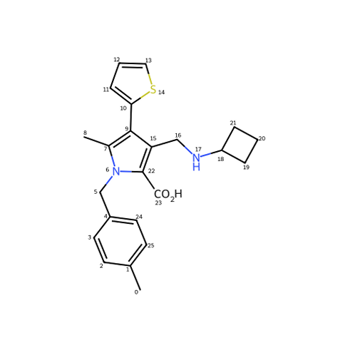 Cc1ccc(Cn2c(C)c(-c3cccs3)c(CNC3CCC3)c2C(=O)O)cc1